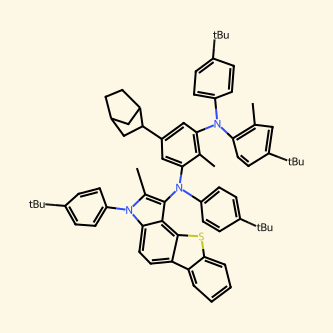 Cc1cc(C(C)(C)C)ccc1N(c1ccc(C(C)(C)C)cc1)c1cc(C2CC3CCC2C3)cc(N(c2ccc(C(C)(C)C)cc2)c2c(C)n(-c3ccc(C(C)(C)C)cc3)c3ccc4c5ccccc5sc4c23)c1C